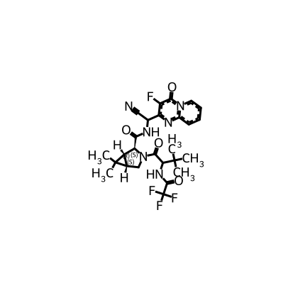 CC(C)(C)C(NC(=O)C(F)(F)F)C(=O)N1C[C@H]2[C@@H]([C@H]1C(=O)NC(C#N)c1nc3ccccn3c(=O)c1F)C2(C)C